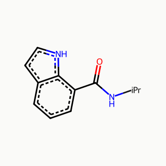 CC(C)NC(=O)c1cccc2cc[nH]c12